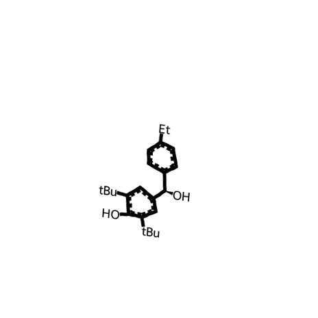 CCc1ccc([C@@H](O)c2cc(C(C)(C)C)c(O)c(C(C)(C)C)c2)cc1